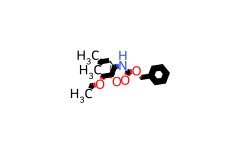 CCOCC(=O)[C@H](CC(C)C)NC(=O)OCc1ccccc1